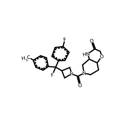 Cc1ccc(C(F)(c2ccc(F)cc2)C2CN(C(=O)N3CCC4OCC(=O)NC4C3)C2)cc1